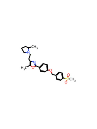 Cc1oc(-c2ccc(OCc3ccc(S(C)(=O)=O)cc3)cc2)nc1CCN1CCCC1C